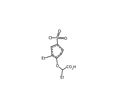 CCc1cc(S(=O)(=O)Cl)ccc1OC(CC)C(=O)O